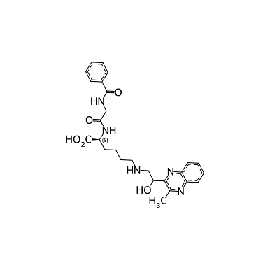 Cc1nc2ccccc2nc1C(O)CNCCCC[C@H](NC(=O)CNC(=O)c1ccccc1)C(=O)O